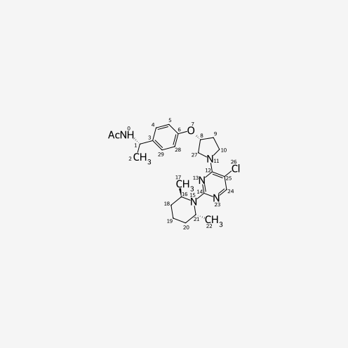 CC(=O)N[C@@H](C)c1ccc(O[C@@H]2CCN(c3nc(N4[C@H](C)CCC[C@H]4C)ncc3Cl)C2)cc1